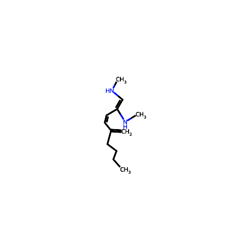 C=C(/C=C\C(=C/NC)NC)CCCC